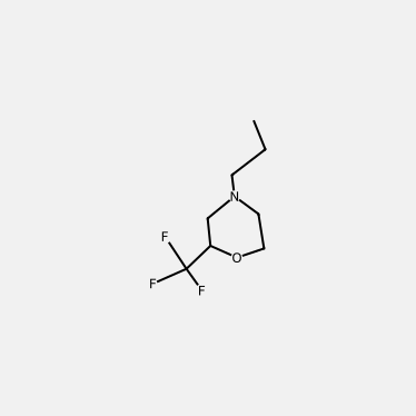 CCCN1CCOC(C(F)(F)F)C1